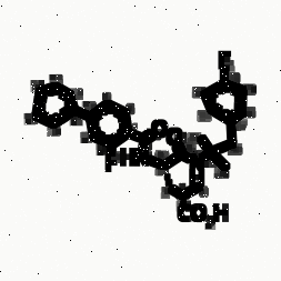 C[C@@H](C[C@H](NC(=O)c1ccc(-c2ccccc2)cc1F)C(=O)NC(C)(C)Cc1ccc(F)cc1)C(=O)O